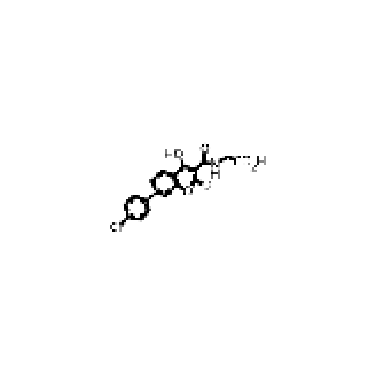 O=C(O)CNC(=O)c1c(O)c2ccc(-c3ccc(Cl)cc3)cc2oc1=O